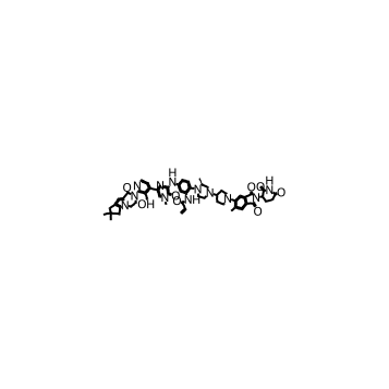 C=CC(=O)Nc1cc(Nc2nc(-c3ccnc(N4CCn5c(cc6c5CC(C)(C)C6)C4=O)c3CO)cn(C)c2=O)ccc1N1CCN(C2CCN(c3cc4c(cc3C)C(=O)N(C3CCC(=O)NC3=O)C4=O)CC2)C[C@@H]1C